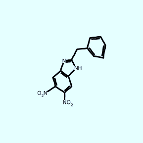 O=[N+]([O-])c1cc2nc(Cc3ccccc3)[nH]c2cc1[N+](=O)[O-]